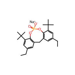 CCc1cc2c(c(C(C)(C)C)c1)OP(=O)([O-])Oc1c(cc(CC)cc1C(C)(C)C)C2.[Na+]